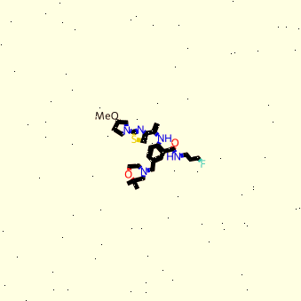 C=C(Nc1ccc(CN2CCOC(C)(C)C2)cc1C(=O)NCCCF)c1csc(N2CC[C@H](OC)C2)n1